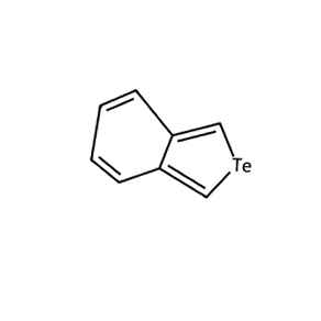 c1ccc2c[te]cc2c1